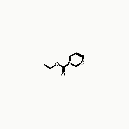 CCOC(=O)N1CC=CSC1